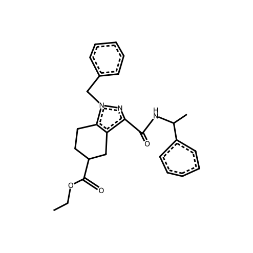 CCOC(=O)C1CCc2c(c(C(=O)NC(C)c3ccccc3)nn2Cc2ccccc2)C1